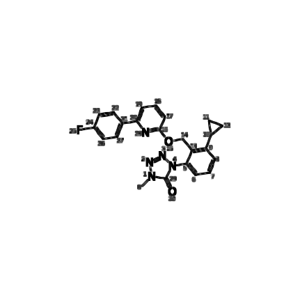 Cn1nnn(-c2cccc(C3CC3)c2COc2cccc(-c3ccc(F)cc3)n2)c1=O